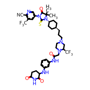 CC1(C)C(=O)N(c2cnc(C#N)c(C(F)(F)F)c2)C(=S)N1[C@H]1CC[C@H](CCCN2CCN(CC(=O)Nc3cccc(NC4CCC(=O)NC4=O)c3)C(C(F)(F)F)C2)CC1